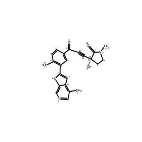 CSc1cncc2sc(-c3cc(C(=O)C#C[C@]4(O)CCN(C)C4=O)ccc3C)nc12